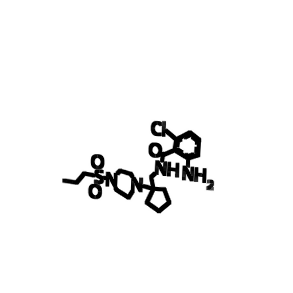 CCCS(=O)(=O)N1CCN(C2(CNC(=O)c3c(N)cccc3Cl)CCCC2)CC1